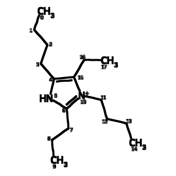 CCCCc1[nH]c(CCC)[n+](CCCC)c1CC